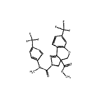 COC(=O)C12COc3cc(C(F)(F)F)ccc3C1=NN(C(=O)N(C)c1ccc(C(F)(F)F)cc1)C2